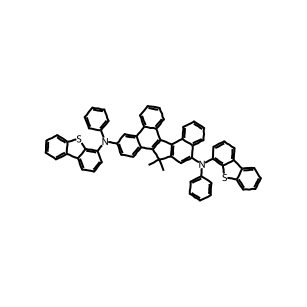 CC1(C)c2cc(N(c3ccccc3)c3cccc4c3sc3ccccc34)c3ccccc3c2-c2c1c1ccc(N(c3ccccc3)c3cccc4c3sc3ccccc34)cc1c1ccccc21